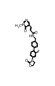 Cn1cncc(/C=C/C(=O)NCc2ccc(-c3ccc(N4CCOC4=O)cc3F)cc2)c1=O